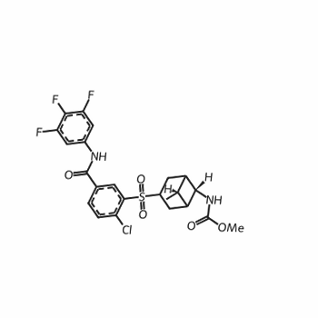 COC(=O)N[C@H]1C2CC(S(=O)(=O)c3cc(C(=O)Nc4cc(F)c(F)c(F)c4)ccc3Cl)CC1[C@@H]2C